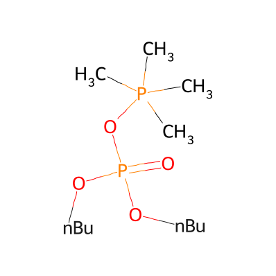 CCCCOP(=O)(OCCCC)OP(C)(C)(C)C